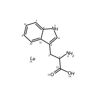 NC(Cc1c[nH]c2ccccc12)C(=O)O.[La]